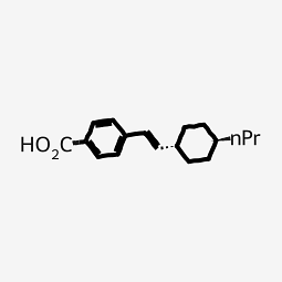 CCC[C@H]1CC[C@H](/C=C/c2ccc(C(=O)O)cc2)CC1